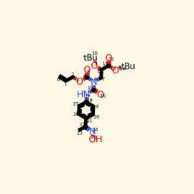 C=CCOC(=O)N(CC(OC(C)(C)C)C(=O)OC(C)(C)C)C(=O)Nc1ccc(C(C)=NO)cc1